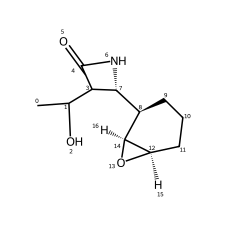 CC(O)C1C(=O)N[C@@H]1[C@H]1CCC[C@H]2O[C@@H]12